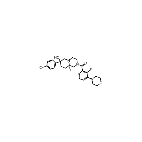 O=C(c1cccc(N2CCOCC2)c1F)N1CCN2C[C@@](O)(c3ccc(Cl)cc3)CC[C@@H]2C1